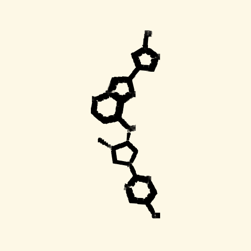 CCn1cc(-c2cn3nccc(N[C@@H]4CN(c5ncc(C#N)cn5)C[C@@H]4C)c3n2)cn1